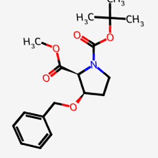 COC(=O)[C@@H]1[C@H](OCc2ccccc2)CCN1C(=O)OC(C)(C)C